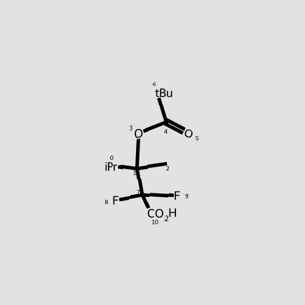 CC(C)C(C)(OC(=O)C(C)(C)C)C(F)(F)C(=O)O